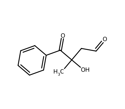 CC(O)(CC=O)C(=O)c1ccccc1